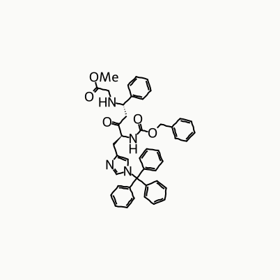 COC(=O)CN[C@@H](CC(=O)[C@H](Cc1cn(C(c2ccccc2)(c2ccccc2)c2ccccc2)cn1)NC(=O)OCc1ccccc1)c1ccccc1